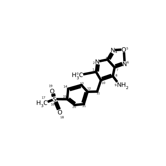 Cc1nc2nonc2c(N)c1Cc1ccc(S(C)(=O)=O)cc1